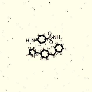 Nc1ccc(S(N)(=O)=O)cc1.c1ccc(Cc2ccc(-c3nccs3)cc2)cc1